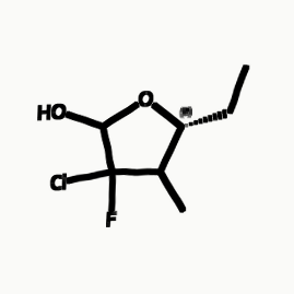 CC[C@H]1OC(O)C(F)(Cl)C1C